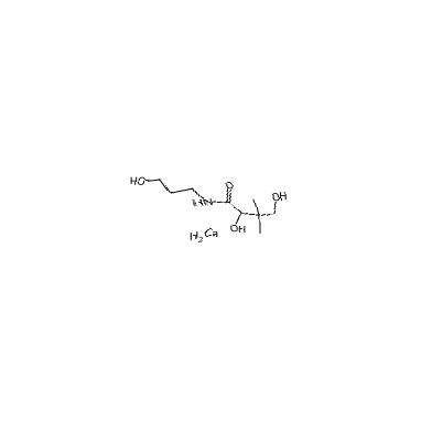 CC(C)(CO)C(O)C(=O)NCCCO.[CaH2]